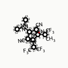 Cc1cc(-c2ccc3c(c2)c2cc(-c4cc(C(F)(F)F)cc(C(F)(F)F)c4)ccc2n3-c2c(-c3cc(C#N)cc(C#N)c3)cc(-c3nc(-c4ccccc4)nc(-c4ccccc4)n3)cc2-c2cc(C#N)cc(C#N)c2)cc(C(F)(F)F)c1